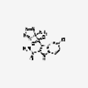 NC(=O)c1[nH]c2ccc(Cl)cc2c1S(=O)(=O)C1(N)N=NN=N1